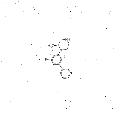 C[C@H]1CNCCN1c1cc(F)cc(-c2cccnc2)c1